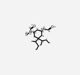 CCC(C)C1(C(C)CC)CCCC(NC=O)C1.O=C[NH][Ti]